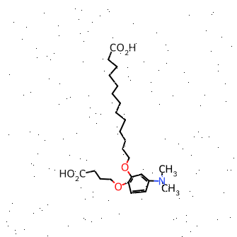 CN(C)c1ccc(OCCCC(=O)O)c(OCCCCCCCCCCCCC(=O)O)c1